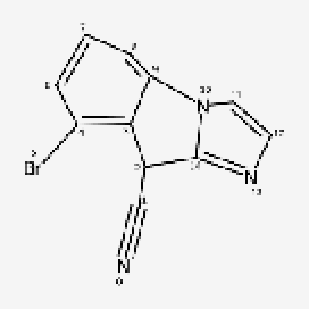 N#CC1c2c(Br)cccc2-n2ccnc21